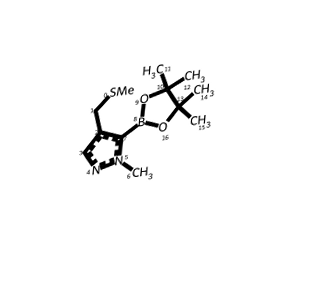 CSCc1cnn(C)c1B1OC(C)(C)C(C)(C)O1